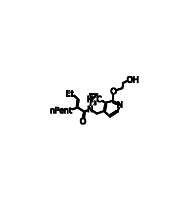 CCC=C(CCCCC)C(=O)N(Cc1ccnc(OCCO)c1C)C1CC1